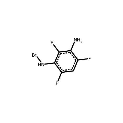 Nc1c(F)cc(F)c(NBr)c1F